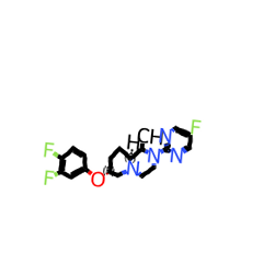 CC1[C@@H]2CC[C@@H](Oc3ccc(F)c(F)c3)CN2CCN1c1ncc(F)cn1